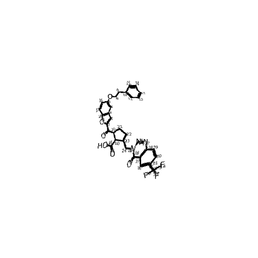 O=C(c1cc2cc(OCCc3ccccc3)ccc2o1)C1CCC(Cn2nnc3ccc(C(F)(F)F)cc3c2=O)C1C(=O)O